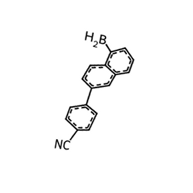 Bc1cccc2cc(-c3ccc(C#N)cc3)ccc12